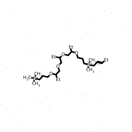 CC/C=C/C[N+](C)(C)CCCOC(CC)COC(CC)COCC(CC)OCCC[N+](C)(C)C